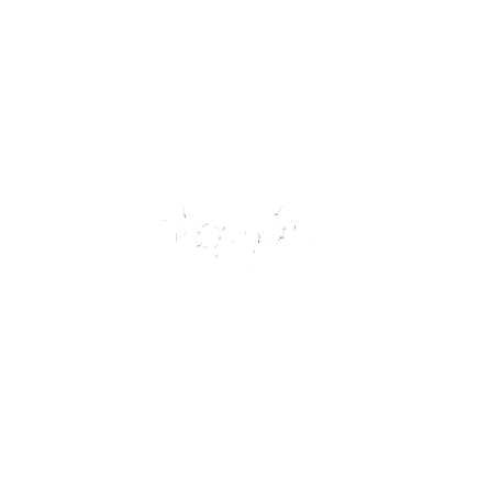 C=C(CC(=O)OC1(c2ccc(C(F)(F)F)cc2)CCC1)C(=O)OC